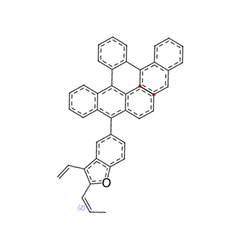 C=Cc1c(/C=C\C)oc2ccc(-c3c4ccccc4c(-c4ccccc4-c4cccc5ccccc45)c4ccccc34)cc12